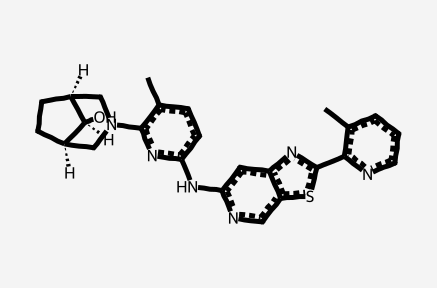 Cc1cccnc1-c1nc2cc(Nc3ccc(C)c(N4C[C@H]5CC[C@@H](C4)[C@H]5O)n3)ncc2s1